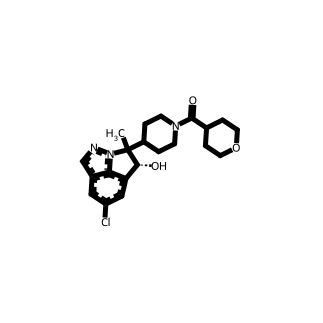 CC1(C2CCN(C(=O)C3CCOCC3)CC2)[C@H](O)c2cc(Cl)cc3cnn1c23